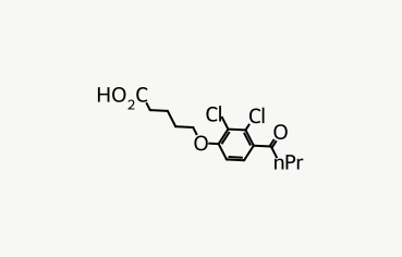 CCCC(=O)c1ccc(OCCCCC(=O)O)c(Cl)c1Cl